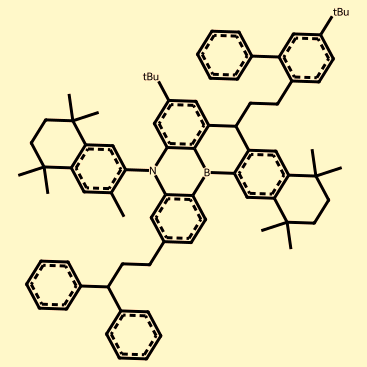 Cc1cc2c(cc1N1c3cc(CCC(c4ccccc4)c4ccccc4)ccc3B3c4cc5c(cc4C(CCc4ccc(C(C)(C)C)cc4-c4ccccc4)c4cc(C(C)(C)C)cc1c43)C(C)(C)CCC5(C)C)C(C)(C)CCC2(C)C